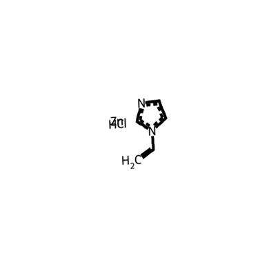 C=Cn1ccnc1.Cl.[Zn]